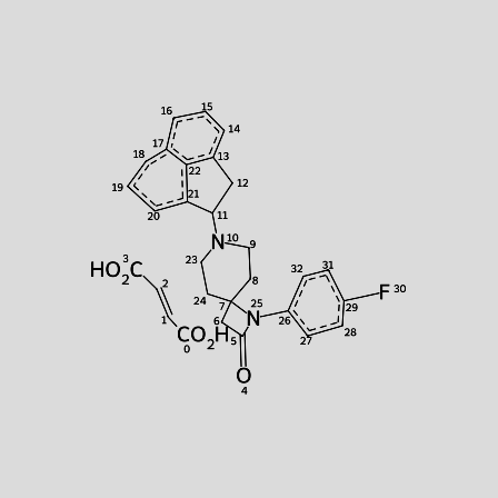 O=C(O)/C=C/C(=O)O.O=C1CC2(CCN(C3Cc4cccc5cccc3c45)CC2)N1c1ccc(F)cc1